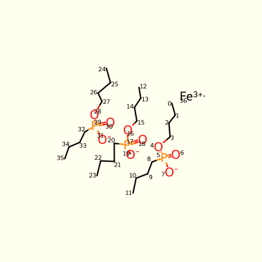 CCCCOP(=O)([O-])CCCC.CCCCOP(=O)([O-])CCCC.CCCCOP(=O)([O-])CCCC.[Fe+3]